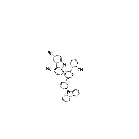 N#Cc1ccc2c(c1)c1c(C#N)cccc1n2-c1cccc(C#N)c1-c1ccc(-c2cccc(-n3c4ccccc4c4ccccc43)c2)cc1